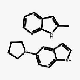 Cc1cc2ccccc2[nH]1.c1cc2cc(N3CCCC3)ccc2[nH]1